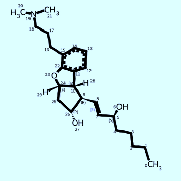 CCCCC[C@H](O)/C=C/[C@@H]1[C@H]2c3cccc(CCCN(C)C)c3O[C@H]2C[C@H]1O